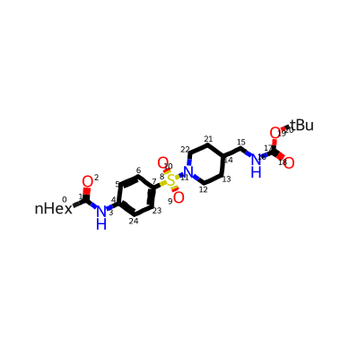 CCCCCCC(=O)Nc1ccc(S(=O)(=O)N2CCC(CNC(=O)OC(C)(C)C)CC2)cc1